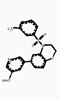 COc1cncc(-c2ccc3c(c2)N(S(=O)(=O)c2cccc(C(F)(F)F)c2)CCO3)c1